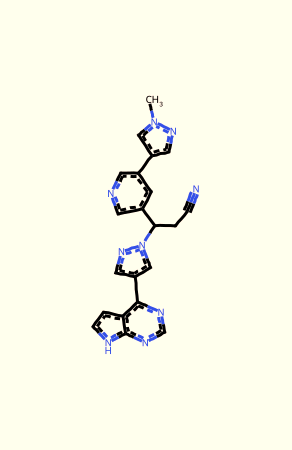 Cn1cc(-c2cncc(C(CC#N)n3cc(-c4ncnc5[nH]ccc45)cn3)c2)cn1